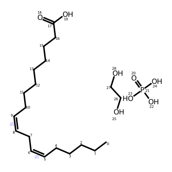 CCCCC/C=C\C/C=C\CCCCCCCC(=O)O.O=P(O)(O)O.OCCO